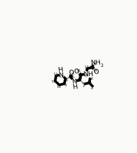 CC(C)C[C@H](NC(=O)[C@@H]1CCCCN1)C(=O)NCC(N)=O